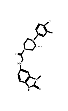 Cc1cc(N2CCN(C(=O)CNc3ccc4[nH]c(=O)n(C)c4c3)C[C@H]2C)ccc1Cl